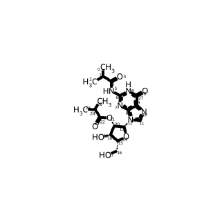 CC(C)C(=O)Nc1nc2c(ncn2[C@@H]2O[C@H](CO)[C@@H](O)[C@@H]2OC(=O)C(C)C)c(=O)[nH]1